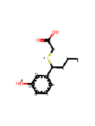 CCCC(SCC(=O)O)c1cccc(O)c1